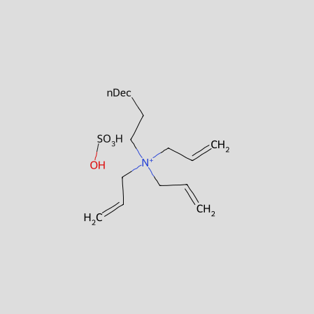 C=CC[N+](CC=C)(CC=C)CCCCCCCCCCCC.O=S(=O)(O)O